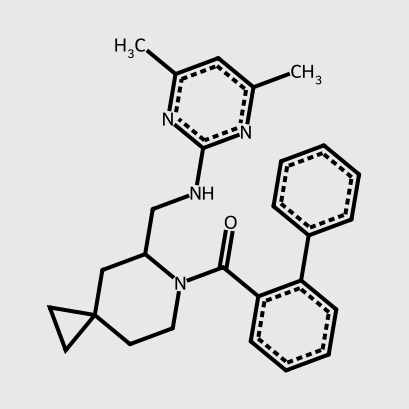 Cc1cc(C)nc(NCC2CC3(CCN2C(=O)c2ccccc2-c2ccccc2)CC3)n1